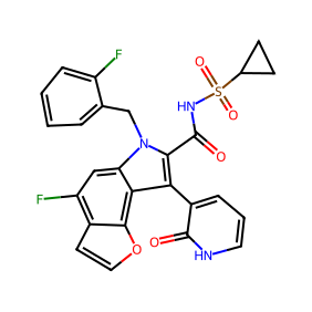 O=C(NS(=O)(=O)C1CC1)c1c(-c2ccc[nH]c2=O)c2c3occc3c(F)cc2n1Cc1ccccc1F